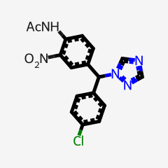 CC(=O)Nc1ccc(C(c2ccc(Cl)cc2)n2cncn2)cc1[N+](=O)[O-]